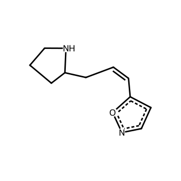 C(=C/c1ccno1)/CC1CCCN1